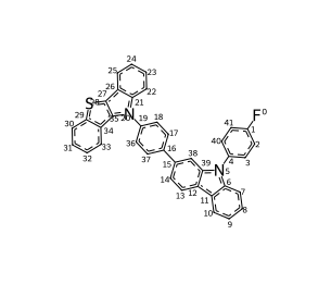 Fc1ccc(-n2c3ccccc3c3ccc(-c4ccc(-n5c6ccccc6c6sc7ccccc7c65)cc4)cc32)cc1